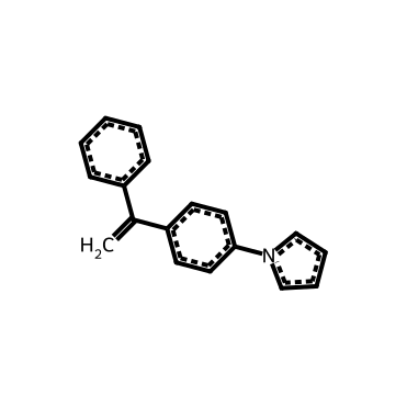 C=C(c1ccccc1)c1ccc(-n2cccc2)cc1